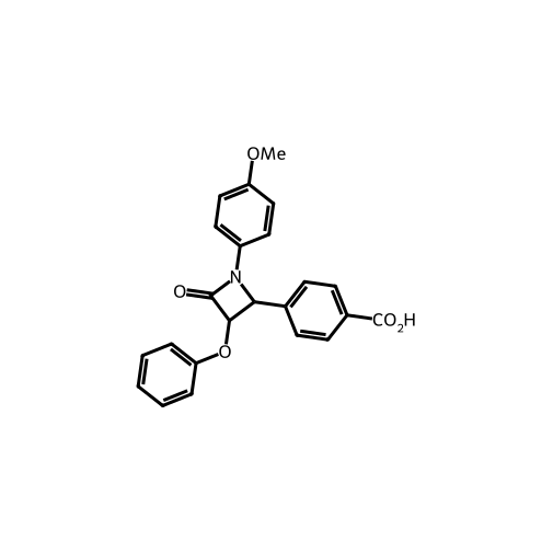 COc1ccc(N2C(=O)C(Oc3ccccc3)C2c2ccc(C(=O)O)cc2)cc1